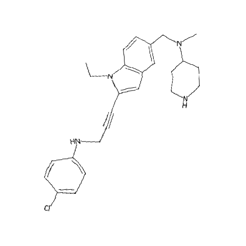 CCn1c(C#CCNc2ccc(Cl)cc2)cc2cc(CN(C)C3CCNCC3)ccc21